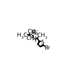 CC(=N[S+]([O-])C(C)(C)C)c1ccc(Br)s1